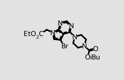 CCOC(=O)Cn1cc(Br)c2c(N3CCN(C(=O)OCC(C)C)CC3)ncnc21